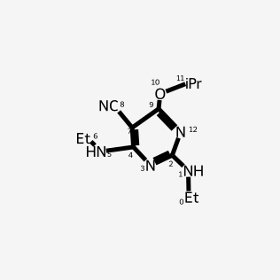 CCNc1nc(NCC)c(C#N)c(OC(C)C)n1